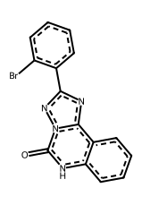 O=c1[nH]c2ccccc2c2nc(-c3ccccc3Br)nn12